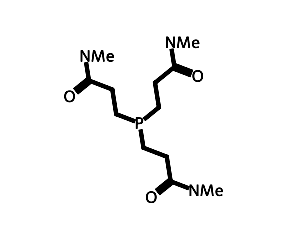 CNC(=O)CCP(CCC(=O)NC)CCC(=O)NC